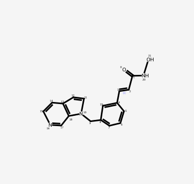 O=C(/C=C/c1cccc(Cn2ccc3ccncc32)c1)NO